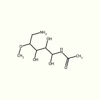 COC(CN)C(O)C(O)C(O)NC(C)=O